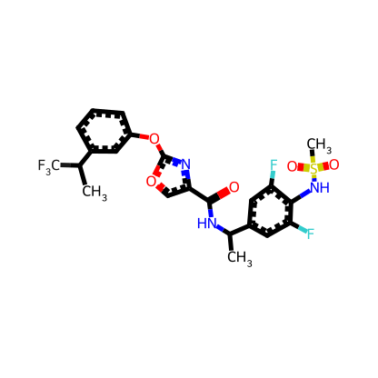 CC(NC(=O)c1coc(Oc2cccc(C(C)C(F)(F)F)c2)n1)c1cc(F)c(NS(C)(=O)=O)c(F)c1